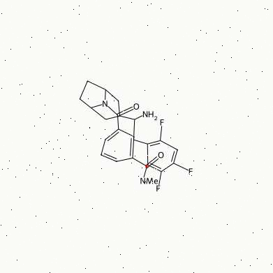 CNC(=O)c1cccc(C(=O)N2C3CCC2CC(C(N)Cc2cc(F)c(F)cc2F)C3)c1